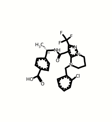 C[C@H](NC(=O)c1c(C(F)(F)F)nn2c1N(Cc1ccccc1Cl)CCC2)c1ccc(C(=O)O)cc1